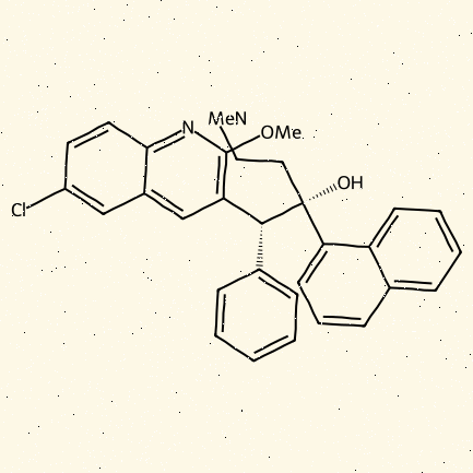 CNCC[C@@](O)(c1cccc2ccccc12)[C@H](c1ccccc1)c1cc2cc(Cl)ccc2nc1OC